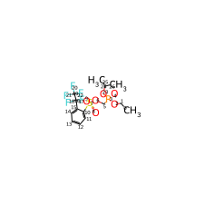 CCOP(=O)(COS(=O)(=O)c1ccccc1C(F)(F)C(F)(F)F)OC(C)C